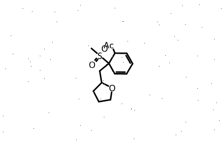 CC(=O)C1C=CC=CC1(CC1CCCO1)S(C)(=O)=O